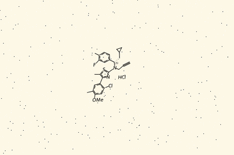 C#CCN(c1nc(-c2cc(C)c(OC)cc2Cl)c(C)s1)[C@@H](CC1CC1)c1ccc(C)c(F)c1.Cl